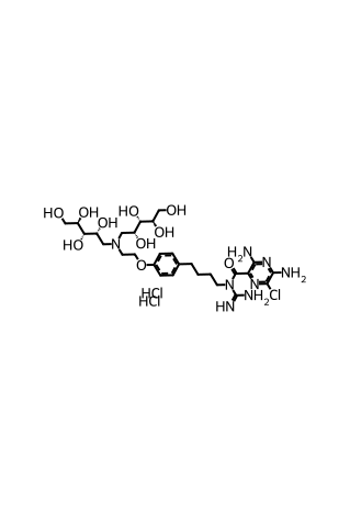 Cl.Cl.N=C(N)N(CCCCc1ccc(OCCN(C[C@@H](O)[C@H](O)[C@H](O)CO)C[C@@H](O)[C@H](O)[C@H](O)CO)cc1)C(=O)c1nc(Cl)c(N)nc1N